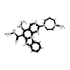 CNC(=O)c1c(NC)c2cnc(N3CCCN(C)CC3)nc2n2c1nc1ccccc12